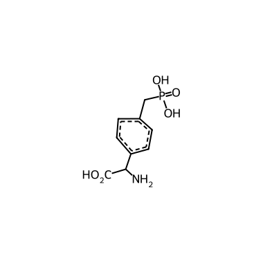 NC(C(=O)O)c1ccc(CP(=O)(O)O)cc1